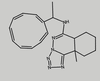 CC(NC1=Nn2nnnc2C2(C)CCCCC12)c1ccccccccc1